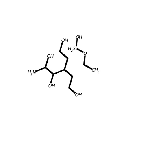 CCO[SiH2]O.NC(O)C(O)C(CCO)CCO